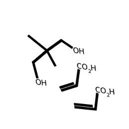 C=CC(=O)O.C=CC(=O)O.CC(C)(CO)CO